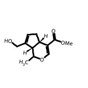 COC(=O)C1=COC(C)[C@@H]2C(CO)=CC[C@H]12